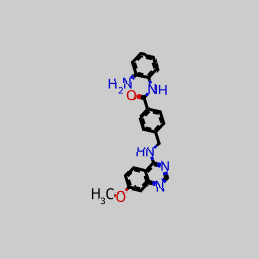 COc1ccc2c(NCc3ccc(C(=O)Nc4ccccc4N)cc3)ncnc2c1